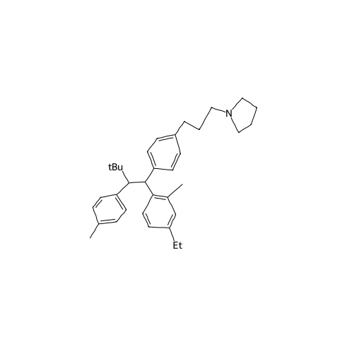 CCc1ccc(C(c2ccc(CCCN3CCCC3)cc2)C(c2ccc(C)cc2)C(C)(C)C)c(C)c1